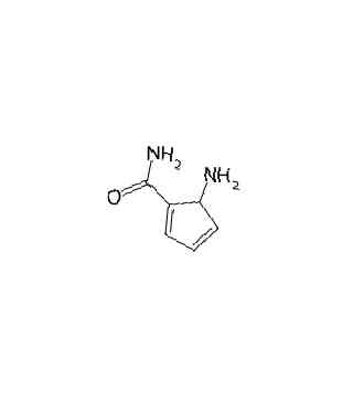 NC(=O)C1=CC=CC1N